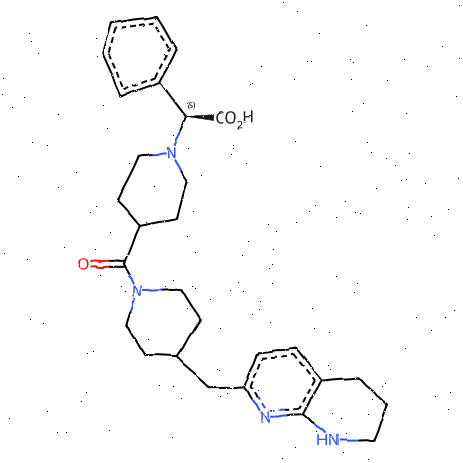 O=C(O)[C@H](c1ccccc1)N1CCC(C(=O)N2CCC(Cc3ccc4c(n3)NCCC4)CC2)CC1